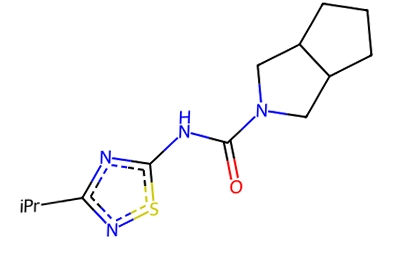 CC(C)c1nsc(NC(=O)N2CC3CCCC3C2)n1